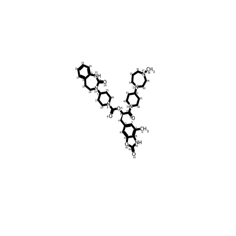 Cc1cc(C[C@@H](OC(=O)N2CCC(N3CCc4ccccc4NC3=O)CC2)C(=O)N2CCC(N3CCCN(C)CC3)CC2)cc2oc(=O)[nH]c12